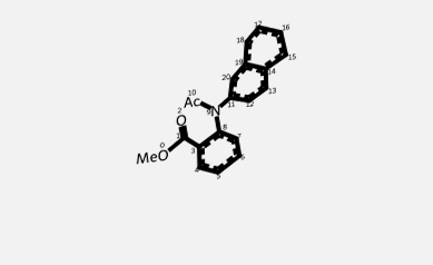 COC(=O)c1ccccc1N(C(C)=O)c1ccc2ccccc2c1